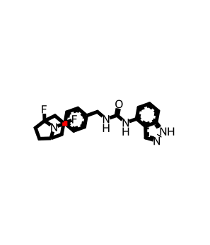 O=C(NCc1ccc(N2C3CCC2(F)CC(F)C3)cc1)Nc1cccc2[nH]ncc12